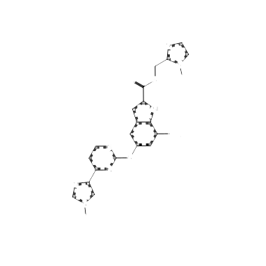 Cc1cc(Nc2nccc(-c3cn(C)cn3)n2)cc2cc(C(=O)NCc3nccn3C)[nH]c12